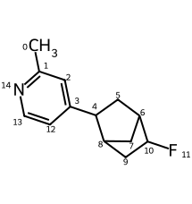 Cc1cc(C2CC3CC2CC3F)ccn1